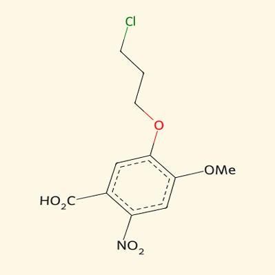 COc1cc([N+](=O)[O-])c(C(=O)O)cc1OCCCCl